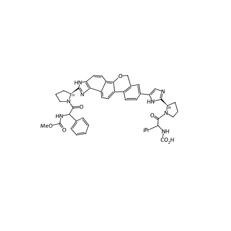 COC(=O)NC(C(=O)N1CCC[C@H]1c1nc2c(ccc3c4c(ccc32)-c2ccc(-c3cnc([C@H]5CCCN5C(=O)C(NC(=O)O)C(C)C)[nH]3)cc2CO4)[nH]1)c1ccccc1